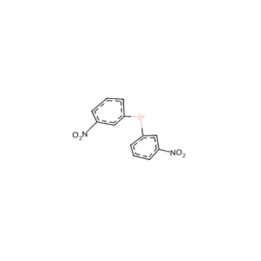 O=[N+]([O-])c1cccc([B]c2cccc([N+](=O)[O-])c2)c1